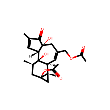 CC(=O)OCC1=C[C@H]2[C@@H]3C[C@]3(OC(C)=O)C[C@@H](C)[C@]2(O)[C@@H]2C=C(C)C(=O)[C@@]2(O)C1